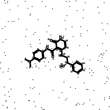 CN(C)c1ccc(NC(=O)c2c(NC[C@@H](O)c3ccccc3)cc[nH]c2=O)cc1